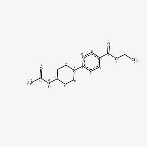 CCOC(=O)c1ccc(N2CCC(NC(N)=O)CC2)nc1